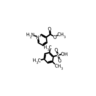 COC(=O)c1ccc[n+](N)c1.Cc1cc(C)c(S(=O)(=O)O)c(C)c1